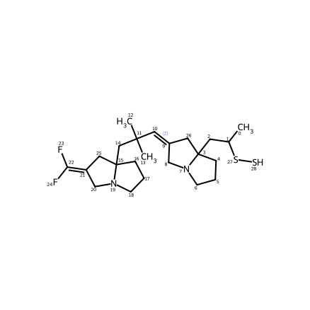 CC(CC12CCCN1C/C(=C\C(C)(C)CC13CCCN1CC(=C(F)F)C3)C2)SS